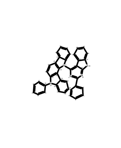 c1ccc(-c2nc(-n3c4ccccc4c4ccc5c(c6ccccc6n5-c5ccccc5)c43)c3c(n2)sc2ccccc23)cc1